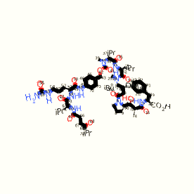 CC[C@H](C)[C@@H]([C@@H](CC(=O)N1CCC[C@H]1[C@H](O)[C@@H](C)C(=O)N[C@@H](Cc1ccccc1)C(=O)O)OC)N(C)C(=O)[C@@H](NC(=O)[C@H](C(C)C)N(C)C(=O)OCc1ccc(NC(=O)[C@H](CCCNC(N)=O)NC(=O)[C@@H](NC(=O)CCC(=O)C(C)C)C(C)C)cc1)C(C)C